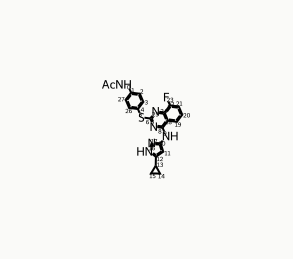 CC(=O)Nc1ccc(Sc2nc(Nc3cc(C4CC4)[nH]n3)c3cccc(F)c3n2)cc1